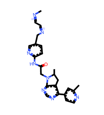 C/N=C\C=N/Cc1ccc(NC(=O)CN2c3ncnc(-c4ccnc(C)c4)c3CC2C)nc1